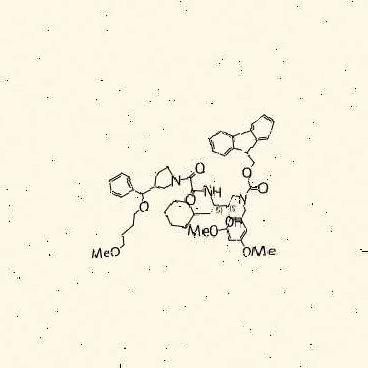 COCCCCOC(c1ccccc1)C1CCN(C(=O)C(=O)N[C@@H](CC2CCCCC2)[C@@H](O)CN(Cc2cc(OC)cc(OC)c2)C(=O)OCC2c3ccccc3-c3ccccc32)C1